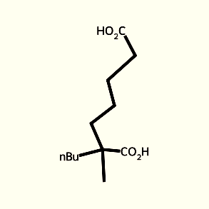 CCCCC(C)(CCCCC(=O)O)C(=O)O